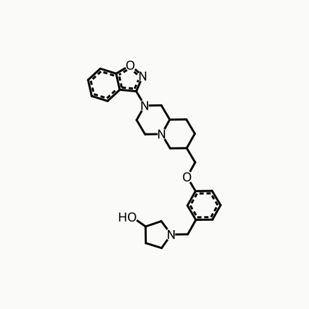 OC1CCN(Cc2cccc(OCC3CCC4CN(c5noc6ccccc56)CCN4C3)c2)C1